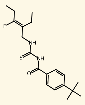 CC/C(F)=C(\CC)CNC(=S)NC(=O)c1ccc(C(C)(C)C)cc1